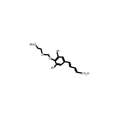 COCCOCOc1c(C(C)C)cc(/C=C/C=C/C(=O)O)cc1C(C)C